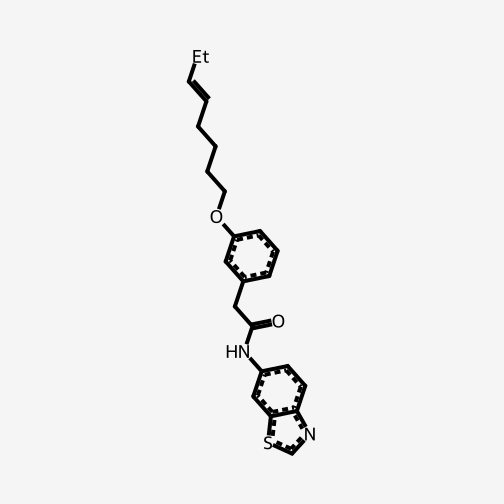 CCC=CCCCCOc1cccc(CC(=O)Nc2ccc3ncsc3c2)c1